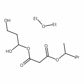 CC(C)C(C)OC(=O)CC(=O)OC(O)CCO.CCOCC